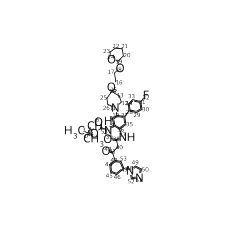 CC(C)(C)OC(=O)Nc1cc(N2CCC(OCCOC3CCCCO3)CC2)c(-c2ccc(F)cc2)cc1NC(=O)CC(=O)c1cccc(-n2ccnc2)c1